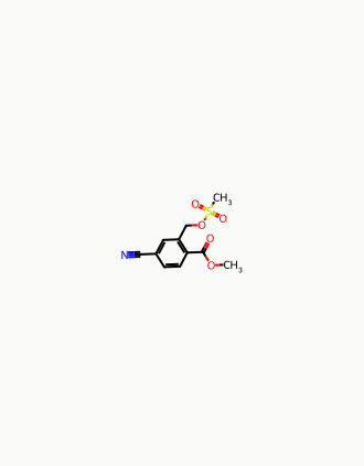 COC(=O)c1ccc(C#N)cc1COS(C)(=O)=O